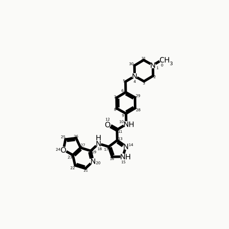 CN1CCN(Cc2ccc(NC(=O)c3n[nH]cc3Nc3nccc4occc34)cc2)CC1